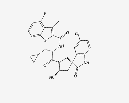 Cc1c(C(=O)N[C@@H](CC2CC2)C(=O)N2C[C@]3(C[C@H]2C#N)C(=O)Nc2ccc(Cl)cc23)sc2cccc(F)c12